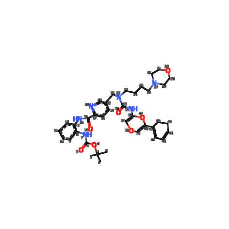 CC(C)(C)OC(=O)Nc1ccccc1NC(=O)c1ccc(CN(CCCCN2CCOCC2)C(=O)NC2=COC=C(C3=CC=CCC3)O2)cn1